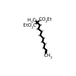 C=CCCCCCCCCC(C)(C(=O)OCC)C(=O)OCC